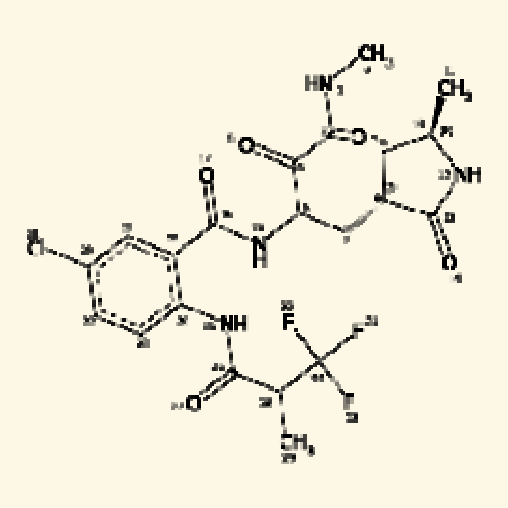 CNC(=O)C(=O)C(C[C@@H]1C[C@@H](C)NC1=O)NC(=O)c1cc(Cl)ccc1NC(=O)C(C)C(F)(F)F